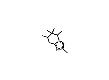 Cc1cn2c(n1)CC(C)C(C)(C)C2C